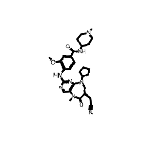 COc1cc(C(=O)NC2CCN(C)CC2)ccc1Nc1ncc2c(n1)N(C1CCCC1)CC(CC#N)C(=O)N2C